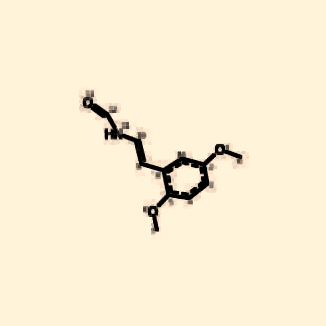 COc1ccc(OC)c(/C=C/NC=O)c1